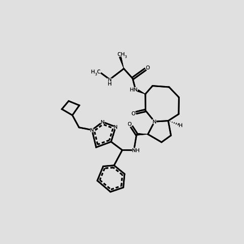 CN[C@@H](C)C(=O)N[C@H]1CCCC[C@H]2CC[C@@H](C(=O)NC(c3ccccc3)c3cn(CC4CCC4)nn3)N2C1=O